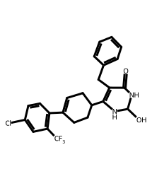 O=C1NC(O)NC(C2CC=C(c3ccc(Cl)cc3C(F)(F)F)CC2)=C1Cc1ccccc1